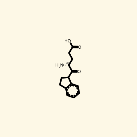 N[C@H](CCC(=O)O)C(=O)C1CCc2ccccc21